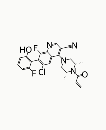 C=CC(=O)N1[C@H](C)CN(c2c(C#N)cnc3c(F)c(-c4c(O)cccc4F)c(Cl)cc23)C[C@@H]1C